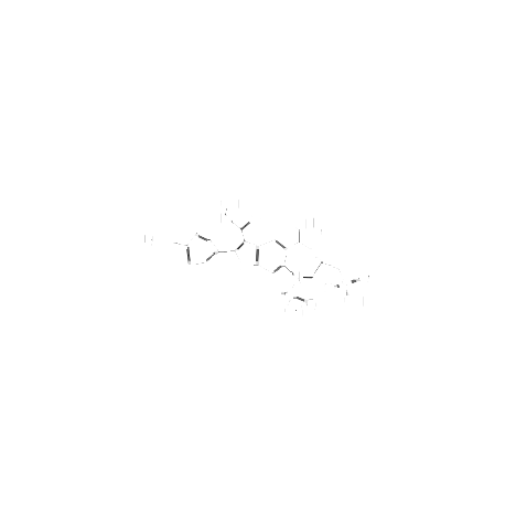 CNC(=O)c1c(-c2ccc(C)cc2)oc2cc3c(cc12)C(C)OC(CS(C)(=O)=O)CN3S(C)(=O)=O